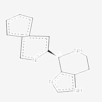 c1ccc2cc([C@H]3NCCc4[nH]cnc43)ncc2c1